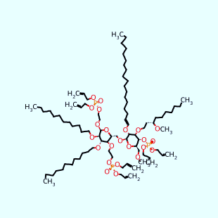 C=CCOP(=O)(OCC=C)OCCO[C@H]1O[C@H](CO[C@@H]2O[C@H](COC)[C@@H](OP(=O)(OCC=C)OCC=C)[C@H](OCC[C@H](CCCCCCC)OC)[C@H]2OC=CCCCCCCCCCCCCCCCC)[C@@H](OCCOP(=O)(OCC=C)OCC=C)[C@H](OCCCCCCCCCCCC)[C@H]1OCCCCCCCCCCCC